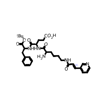 CC(C)(C)OC(=O)C(Cc1ccccc1)NC(=O)C(CCC(=O)O)NC(=O)C(N)CCCCNC(=O)/C=C/c1cccnc1